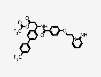 N=c1ccccn1CCOc1ccc(C(=O)NC(CC(=O)OC(=O)C(F)(F)F)c2ccc(-c3ccc(C(F)(F)F)cc3)cc2)cc1